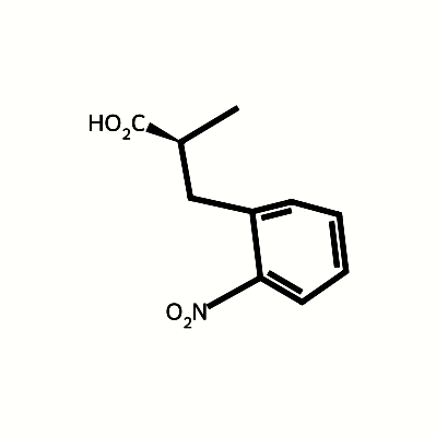 C[C@@H](Cc1ccccc1[N+](=O)[O-])C(=O)O